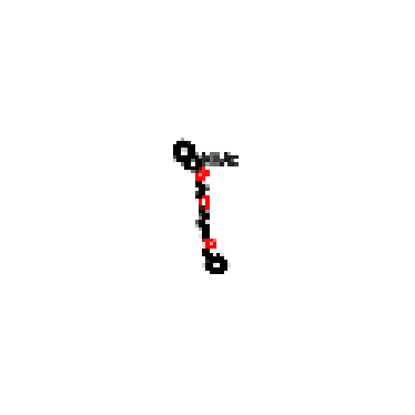 CC(=O)N[C@H]1c2ccccc2C[C@H]1OCCCOCCCCCOCc1ccccc1